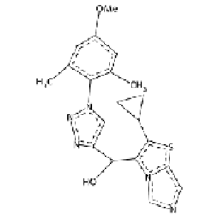 COc1cc(C)c(-n2cc(C(O)c3c(C4CC4)sc4cncn34)nn2)c(C)c1